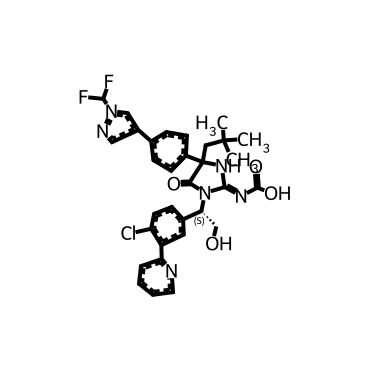 CC(C)(C)CC1(c2ccc(-c3cnn(C(F)F)c3)cc2)NC(=NC(=O)O)N([C@H](CO)c2ccc(Cl)c(-c3ccccn3)c2)C1=O